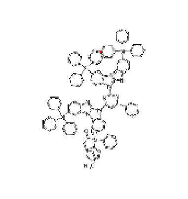 C=C(/C=C\C=C/C)[Si](c1ccccc1)(c1ccccc1)c1ccc2c(c1)n1c3cc([Si](c4ccccc4)(c4ccccc4)c4ccccc4)ccc3nc1n2-c1cc(-c2ccccc2)nc(-n2c3ccc([Si](c4ccccc4)(c4ccccc4)c4ccccc4)cc3n3c4cc([Si](c5ccccc5)(c5ccccc5)c5ccccc5)ccc4nc23)n1